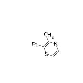 CCC1=C(C)[N]C=CS1